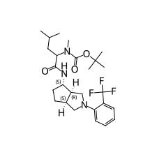 CC(C)CC(C(=O)N[C@H]1CC[C@@H]2CN(c3ccccc3C(F)(F)F)C[C@@H]21)N(C)C(=O)OC(C)(C)C